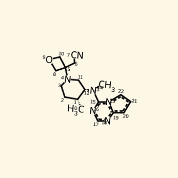 C[C@@H]1CCN(C2(CC#N)COC2)C[C@@H]1N(C)c1ncnc2cccn12